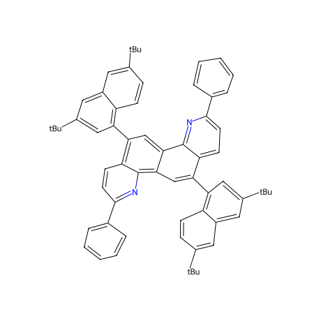 CC(C)(C)c1ccc2c(-c3cc4c(cc(-c5cc(C(C)(C)C)cc6cc(C(C)(C)C)ccc56)c5ccc(-c6ccccc6)nc54)c4nc(-c5ccccc5)ccc34)cc(C(C)(C)C)cc2c1